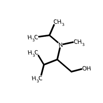 CC(C)C(CO)N(C)C(C)C